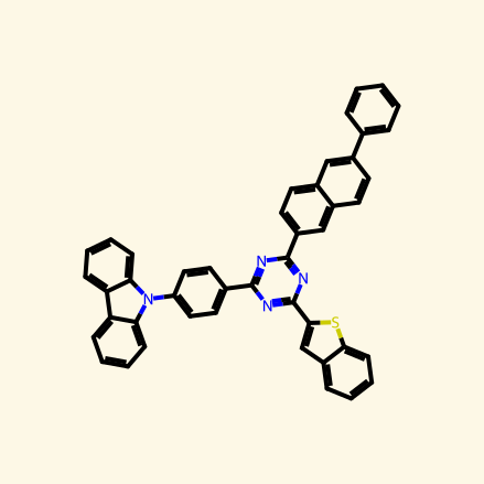 c1ccc(-c2ccc3cc(-c4nc(-c5ccc(-n6c7ccccc7c7ccccc76)cc5)nc(-c5cc6ccccc6s5)n4)ccc3c2)cc1